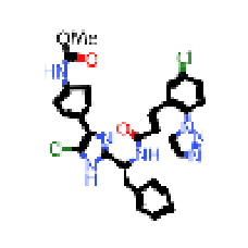 COC(=O)Nc1ccc(-c2nc([C@H](Cc3ccccc3)NC(=O)C=Cc3cc(Cl)ccc3-n3ccnn3)[nH]c2Cl)cc1